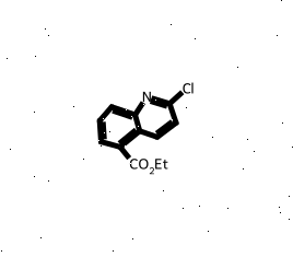 CCOC(=O)c1cccc2nc(Cl)ccc12